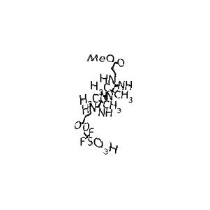 COC(=O)CCNC(=N)C(C)(C)N=NC(C)(C)C(=N)NCCC(=O)OCC(F)(F)S(=O)(=O)O